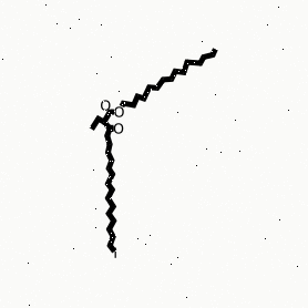 CCCCCCCCCCCCCCCOC(=O)C(CC)C(=O)CCCCCCCCCCCCCCCI